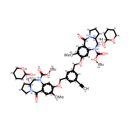 C#Cc1cc(COc2cc3c(cc2OC)C(=O)N2CCC[C@H]2[C@H](OC2CCCCO2)N3C(=O)OC(C)(C)C)cc(COc2cc3c(cc2OC)C(=O)N2CCC[C@H]2[C@H](OC2CCCCO2)N3C(=O)OC(C)(C)C)c1